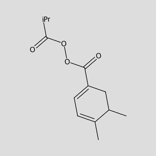 CC1=CC=C(C(=O)OOC(=O)C(C)C)CC1C